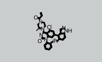 C=CC(=O)N1CCN(c2nc(=O)n(-c3ccccc3C(C)C)c3cc(-c4c(C)ccc5[nH]ncc45)cc(Cl)c23)[C@@H](C)C1